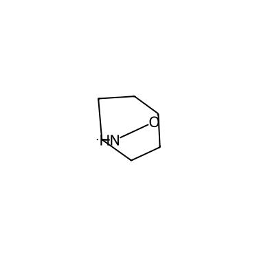 C1CC2CC[C]1NO2